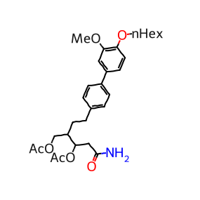 CCCCCCOc1ccc(-c2ccc(CCC(COC(C)=O)C(CC(N)=O)OC(C)=O)cc2)cc1OC